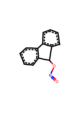 O=NOC1c2ccccc2-c2ccccc21